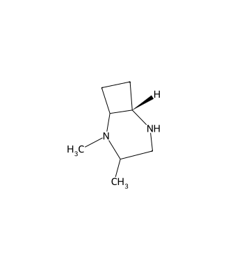 CC1CN[C@H]2CCC2N1C